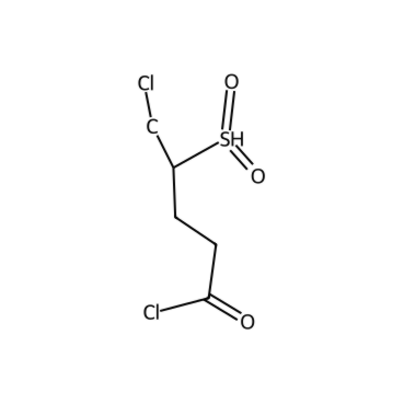 O=C(Cl)CCC(CCl)[SH](=O)=O